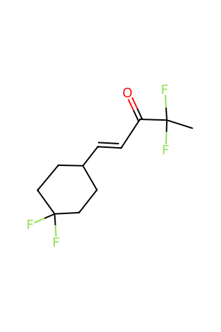 CC(F)(F)C(=O)C=CC1CCC(F)(F)CC1